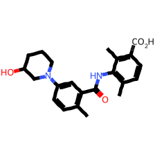 Cc1ccc(N2CCCC(O)C2)cc1C(=O)Nc1c(C)ccc(C(=O)O)c1C